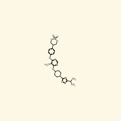 Cc1c(Oc2ccc(C3COS(=O)(=O)OC3)cc2)ncnc1OC1CCN(c2nc(C(C)C)no2)CC1